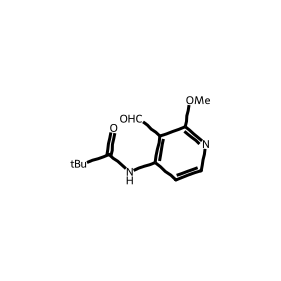 COc1nccc(NC(=O)C(C)(C)C)c1C=O